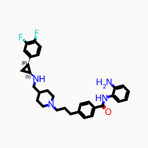 Nc1ccccc1NC(=O)c1ccc(CCCN2CCC(CN[C@H]3C[C@@H]3c3ccc(F)c(F)c3)CC2)cc1